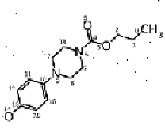 CCCOC(=O)N1CCN(c2ccc([O])cc2)CC1